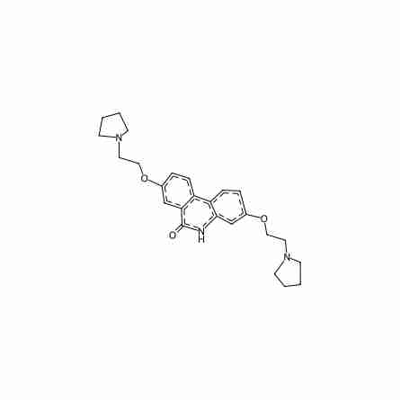 O=c1[nH]c2cc(OCCN3CCCC3)ccc2c2ccc(OCCN3CCCC3)cc12